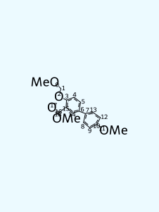 COCOc1ccc(-c2ccc(OC)cc2)cc1C(=O)OC